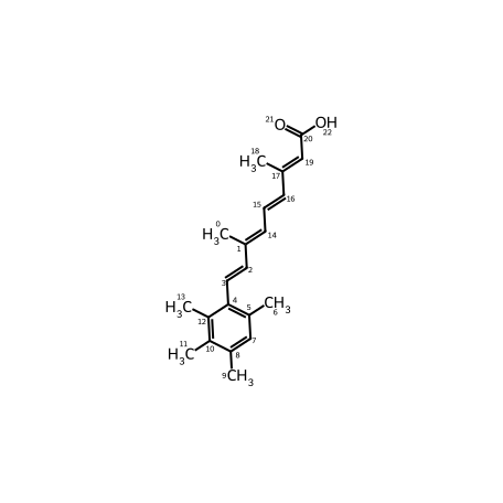 CC(/C=C/c1c(C)cc(C)c(C)c1C)=C\C=C\C(C)=C\C(=O)O